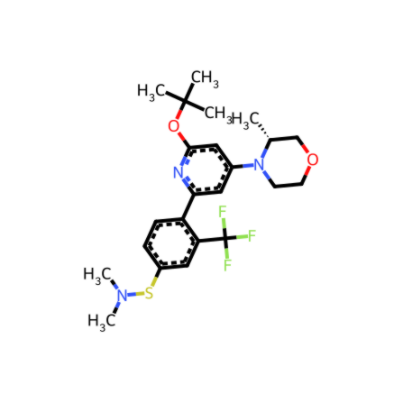 C[C@@H]1COCCN1c1cc(OC(C)(C)C)nc(-c2ccc(SN(C)C)cc2C(F)(F)F)c1